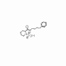 O=C(CCCCCc1ccccc1)C1CCCCN1S(=O)(=O)O